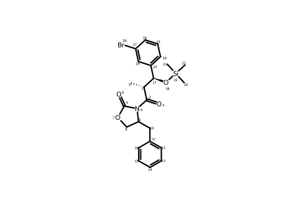 C[C@@H](C(=O)N1C(=O)OCC1Cc1ccccc1)[C@H](O[Si](C)(C)C)c1cccc(Br)c1